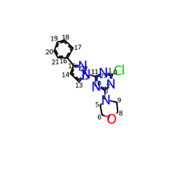 Clc1nc(N2CCOCC2)nc(-n2ccc(-c3ccccc3)n2)n1